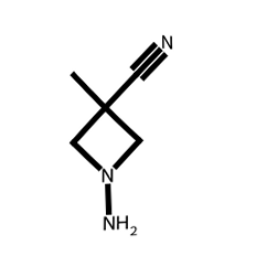 CC1(C#N)CN(N)C1